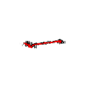 CCCN(CCO)C(=O)C1=Cc2ccc(-c3cccc(S(=O)(=O)N4CC(CNC(=O)CCOCCOCCOCCOCCOCCOCCOCCOCCOCCOCCC(=O)Oc5c(F)c(F)c(S(=O)(=O)O)c(F)c5F)C4)c3)cc2N=C(N)C1